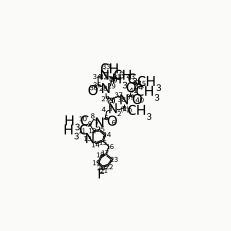 C[C@@H]1CN(CC(=O)N2CC(C)(C)c3ncc(Cc4ccc(F)cc4)cc32)[C@@H](CN2C[C@H](C)N(C)CC2=O)CN1C(=O)OC(C)(C)C